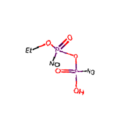 CCOP(=O)(N=O)OP(=O)(O)N=O